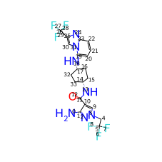 Nc1nn(CC(F)(F)F)cc1C(=O)N[C@H]1CC[C@@H](Nc2cccc3nc(C(F)(F)F)cn23)CC1